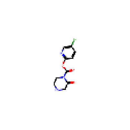 O=C1CNCCN1C(=O)Oc1ccc(Br)cn1